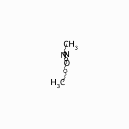 CCCCCCC1CCC(CCCOc2ccc(-c3ncc(CCCCC)cn3)cc2)CC1